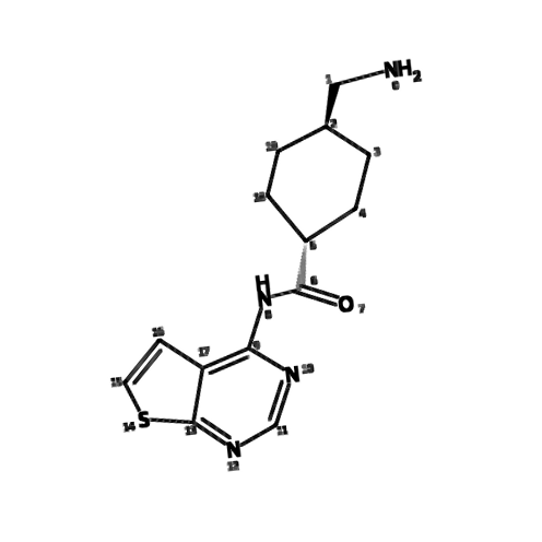 NC[C@H]1CC[C@H](C(=O)Nc2ncnc3sccc23)CC1